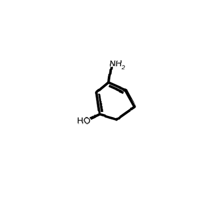 NC1=CCCC(O)=C1